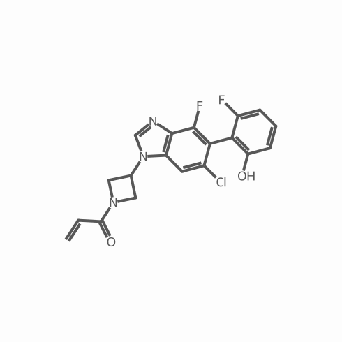 C=CC(=O)N1CC(n2cnc3c(F)c(-c4c(O)cccc4F)c(Cl)cc32)C1